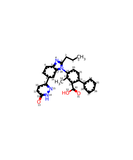 CCCc1nc2ccc(-c3ccc(=O)[nH]n3)cc2n1-c1ccc(-c2ccccc2)c(C(=O)O)c1C